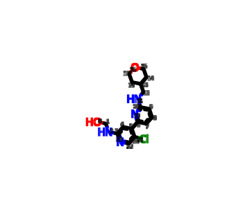 OCNc1cc(-c2cccc(NCC3CCOCC3)n2)c(Cl)cn1